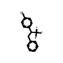 FC(F)(F)C(Cc1ccccc1)c1ccc(Cl)cc1